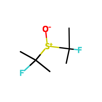 CC(C)(F)[S+]([O-])C(C)(C)F